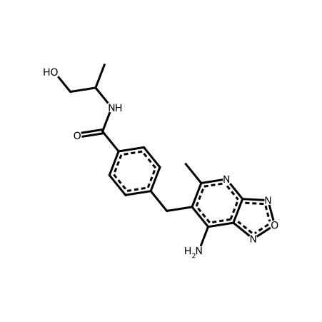 Cc1nc2nonc2c(N)c1Cc1ccc(C(=O)NC(C)CO)cc1